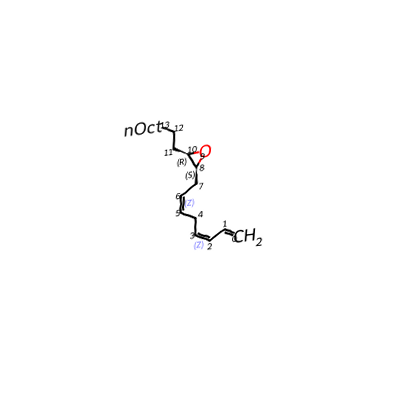 C=C/C=C\C/C=C\C[C@@H]1O[C@@H]1CCCCCCCCCC